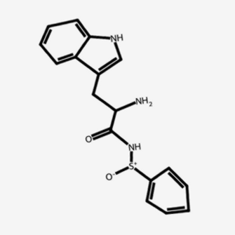 NC(Cc1c[nH]c2ccccc12)C(=O)N[S+]([O-])c1ccccc1